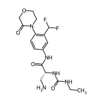 CCNC(=O)N[C@H](CN)C(=O)Nc1ccc(N2CCOCC2=O)c(C(F)F)c1